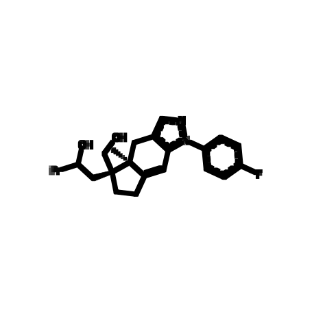 CC(C)C(O)C[C@]1(CO)CCC2=Cc3c(cnn3-c3ccc(F)cc3)C[C@@]21C